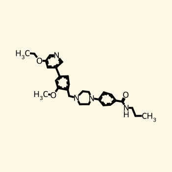 CCCNC(=O)c1ccc(N2CCN(Cc3ccc(-c4cncc(OCC)c4)cc3OC)CC2)cc1